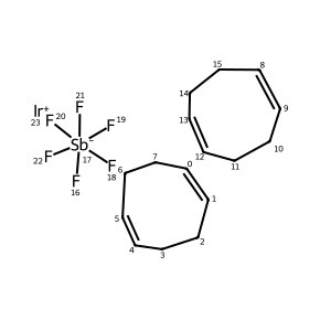 C1=CCCC=CCC1.C1=CCCC=CCC1.[F][Sb-]([F])([F])([F])([F])[F].[Ir+]